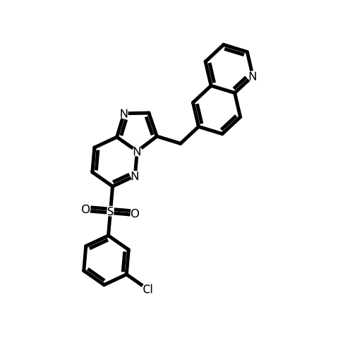 O=S(=O)(c1cccc(Cl)c1)c1ccc2ncc(Cc3ccc4ncccc4c3)n2n1